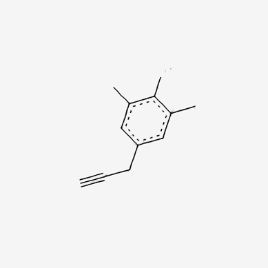 C#CCc1cc(C)c(OC(C)=O)c(C)c1